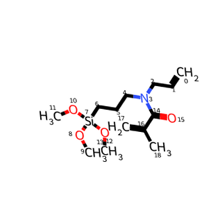 C=CCN(CCC[Si](OC)(OC)OC)C(=O)C(=C)C